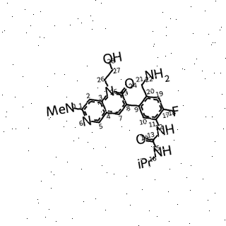 CNc1cc2c(cn1)cc(-c1cc(NC(=O)NC(C)C)c(F)cc1CN)c(=O)n2CCO